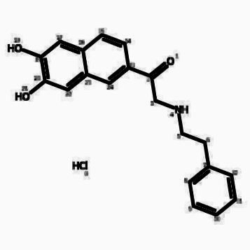 Cl.O=C(CNCCc1ccccc1)c1ccc2cc(O)c(O)cc2c1